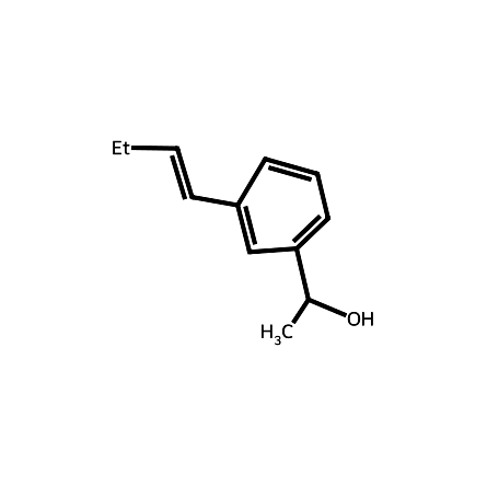 CCC=Cc1cccc(C(C)O)c1